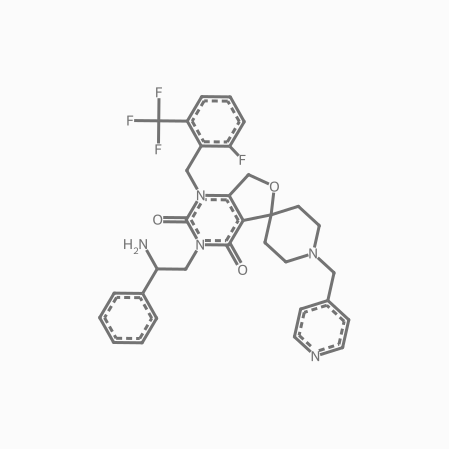 NC(Cn1c(=O)c2c(n(Cc3c(F)cccc3C(F)(F)F)c1=O)COC21CCN(Cc2ccncc2)CC1)c1ccccc1